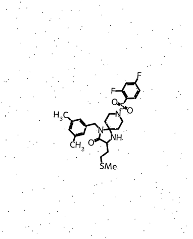 CSCCC1NC2(CCN(S(=O)(=O)c3ccc(F)cc3F)CC2)N(Cc2cc(C)cc(C)c2)C1=O